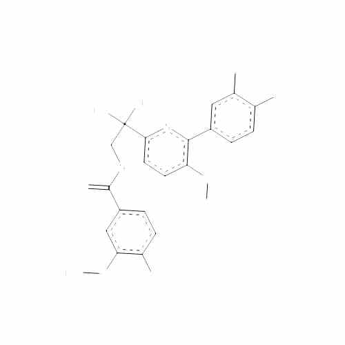 COc1cc(C(=O)NCC(C)(O)c2ccc(OC)c(-c3ccc(F)c(Cl)c3)n2)ccc1O